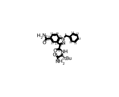 CC(C)(C)[C@H](NC(=O)c1nn(Cc2ccccc2)c2ccc(C(N)=O)cc12)C(N)=O